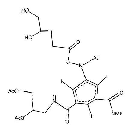 CNC(=O)c1c(I)c(C(=O)NCC(COC(C)=O)OC(C)=O)c(I)c(N(OC(=O)CCC(O)CO)C(C)=O)c1I